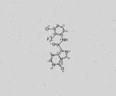 Cn1nnc2c(C(=O)Nc3cccc(Cl)c3C(F)(F)F)ncn2c1=O